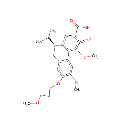 COCCCOc1cc2c(cc1OC)-c1c(OC)c(=O)c(C(=O)O)cn1[C@H](C(C)C)C2